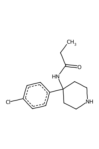 CCC(=O)NC1(c2ccc(Cl)cc2)CCNCC1